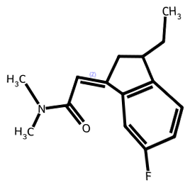 CCC1C/C(=C/C(=O)N(C)C)c2cc(F)ccc21